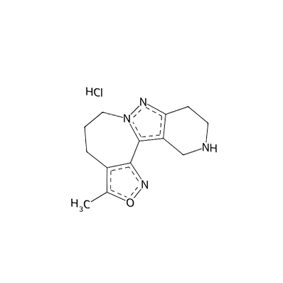 Cc1onc2c1CCCn1nc3c(c1-2)CNCC3.Cl